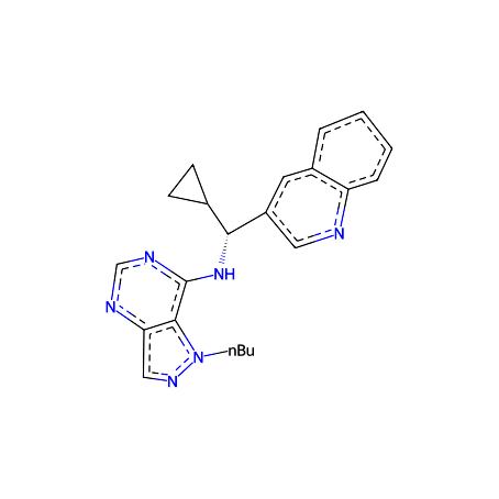 CCCCn1ncc2ncnc(N[C@@H](c3cnc4ccccc4c3)C3CC3)c21